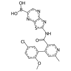 COc1ccc(Cl)cc1-c1cc(C)ncc1C(=O)Nc1nc2ncc(B(O)O)nc2s1